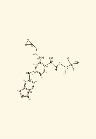 CC(C)(O)[C@H](F)CNC(=O)c1cnc(Nc2ccn3nccc3c2)cc1NCCC1CC1